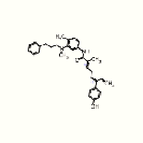 C=C/C(=C\C/C=C(\C)C(=O)Nc1ccc(C)c(N(C)CCCc2ccccc2)c1)c1ccc(O)cc1